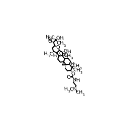 CCO[C@@H](C1C[C@@H](C)[C@H]2C(O1)[C@H](O)[C@@]1(C)C3CC[C@H]4C(C)(C)[C@@H](OC(=O)NCCN(C)C)CC[C@@]45C[C@@]35CC[C@]21C)C(C)(C)O